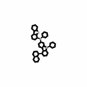 c1ccc(N(c2ccc3c4c(-c5cccc6ccccc56)cccc4n(-c4ccccc4)c3c2)c2cccc3c2sc2ccccc23)cc1